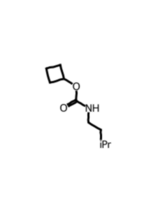 CC(C)CCNC(=O)OC1CCC1